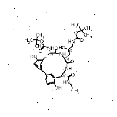 CCNC(=O)[C@@H]1Cc2cc(ccc2O)-c2ccc(O)c(c2)C[C@H](NC(=O)OC(C)(C)C)C(=O)N[C@@H](C[C@@H](O)CNC(=O)OC(C)(C)C)C(=O)N1